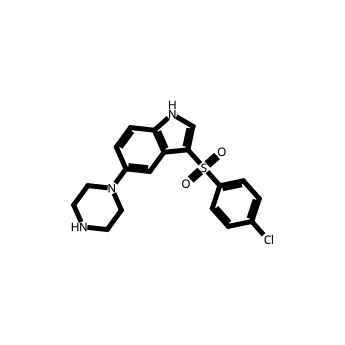 O=S(=O)(c1ccc(Cl)cc1)c1c[nH]c2ccc(N3CCNCC3)cc12